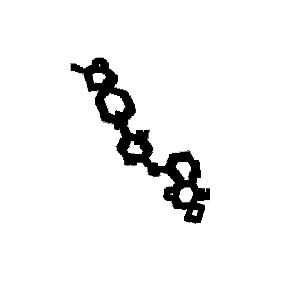 C[C@H]1CC2(CCN(c3cnc(Sc4ccnc5c4OCC4(CCC4)N5)cn3)CC2)CO1